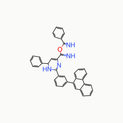 N=C(OC(=N)c1ccccc1)C1=CC(c2ccccc2)NC(c2cccc(-c3cc4ccccc4c4ccccc34)c2)=N1